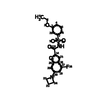 CCOc1cccc(S(=O)(=O)NC(=O)c2cc3c(F)cc(N4CCC4)cc3o2)c1